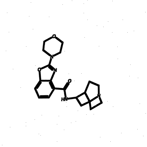 O=C(NC1CC23CCN2CCC13)c1cccc2oc(N3CCOCC3)nc12